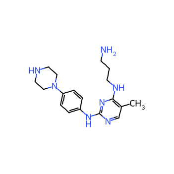 Cc1cnc(Nc2ccc(N3CCNCC3)cc2)nc1NCCCN